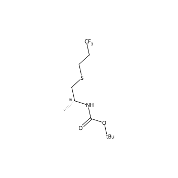 C[C@H](CSCCC(F)(F)F)NC(=O)OC(C)(C)C